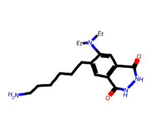 CCN(CC)c1cc2c(=O)[nH][nH]c(=O)c2cc1CCCCCCN